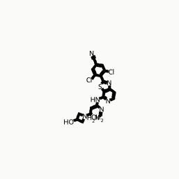 C=C(/C=C(\N=C/N)Nc1nccc2nc(-c3c(Cl)cc(C#N)cc3Cl)sc12)N1CC(O)C1